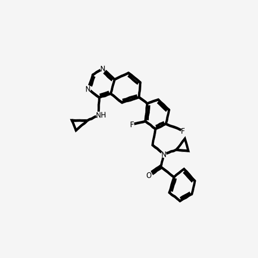 O=C(c1ccccc1)N(Cc1c(F)ccc(-c2ccc3ncnc(NC4CC4)c3c2)c1F)C1CC1